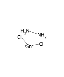 NN.[Cl][Sn][Cl]